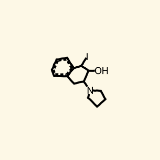 OC1C(I)c2ccccc2CC1N1CCCC1